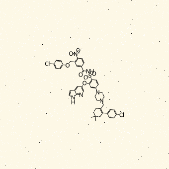 CC1(C)CCC(CN2CCN(c3ccc(S(=O)(=O)NC(=O)c4ccc([N+](=O)[O-])c(COc5ccc(Cl)cc5)c4)c(Oc4cnc5[nH]ccc5c4)c3)CC2)=C(c2ccc(Cl)cc2)C1